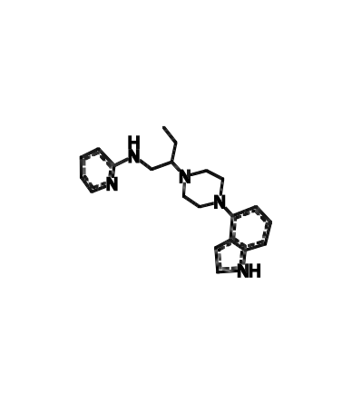 CCC(CNc1ccccn1)N1CCN(c2cccc3[nH]ccc23)CC1